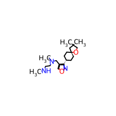 CNCCN(C)Cc1conc1[C@H]1CC[C@@]2(CC1)CC(C)(C)CO2